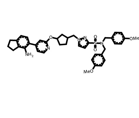 COc1ccc(CN(Cc2ccc(OC)cc2)S(=O)(=O)c2ccn(CC3CCC(Oc4cc(-c5ccc6c(c5N)CCC6)ccn4)C3)n2)cc1